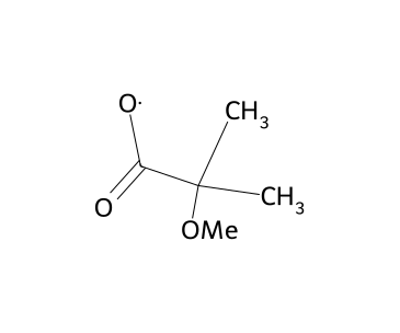 COC(C)(C)C([O])=O